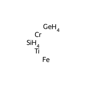 [Cr].[Fe].[GeH4].[SiH4].[Ti]